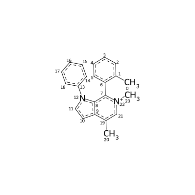 Cc1ccccc1-c1c2c(ccn2-c2ccccc2)c(C)c[n+]1C